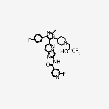 Cc1nc(-c2ccc(F)cc2)c(-c2ccc3nc(NC(=O)c4ccnc(F)c4)cn3n2)n1C1CCN(C[C@@H](O)C(F)(F)F)CC1